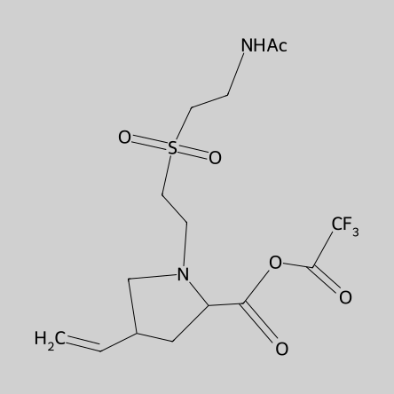 C=CC1CC(C(=O)OC(=O)C(F)(F)F)N(CCS(=O)(=O)CCNC(C)=O)C1